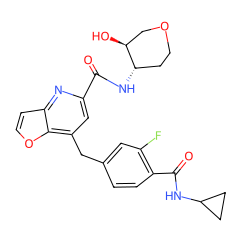 O=C(N[C@H]1CCOC[C@@H]1O)c1cc(Cc2ccc(C(=O)NC3CC3)c(F)c2)c2occc2n1